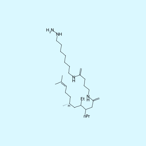 C=C(CCCNC(=C)CC(CCC)C(CC)C[C@H](C)CCC=C(C)C)NCCCCCCCNN